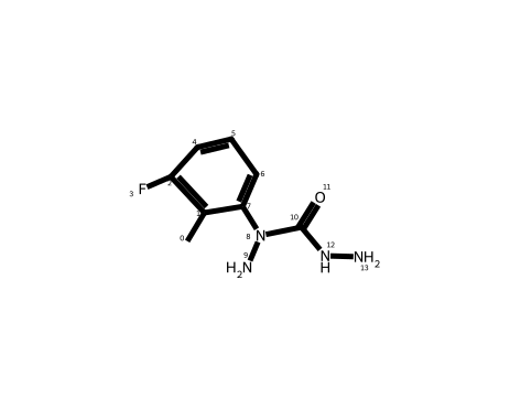 Cc1c(F)cccc1N(N)C(=O)NN